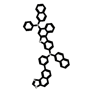 c1ccc(N(c2ccc3ccccc3c2)c2cc3oc4cc(N(c5cccc(-c6ccc7ccc8ocnc8c7c6)c5)c5ccc6ccccc6c5)ccc4c3c3ccccc23)cc1